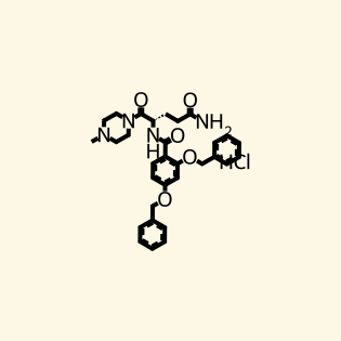 CN1CCN(C(=O)[C@H](CCC(N)=O)NC(=O)c2ccc(OCc3ccccc3)cc2OCc2ccccc2)CC1.Cl